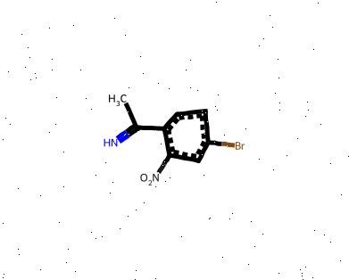 CC(=N)c1ccc(Br)cc1[N+](=O)[O-]